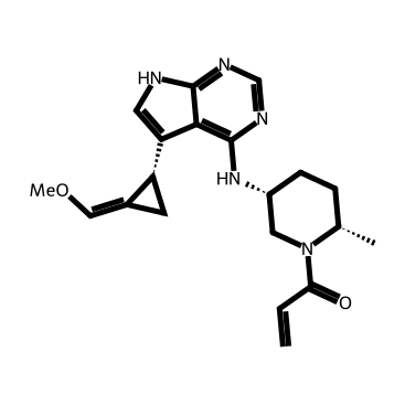 C=CC(=O)N1C[C@H](Nc2ncnc3[nH]cc([C@@H]4C/C4=C/OC)c23)CC[C@@H]1C